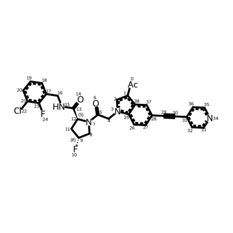 CC(=O)c1cn(CC(=O)N2C[C@H](F)C[C@H]2C(=O)NCc2cccc(Cl)c2F)c2ccc(C#Cc3ccncc3)cc12